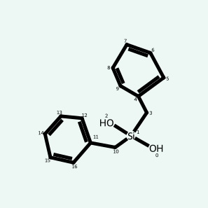 O[Si](O)(Cc1ccccc1)Cc1ccccc1